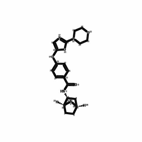 O=C(N[C@@H]1C[C@H]2CC[C@@H]1N2)c1ccc(Oc2cnc(N3CCOCC3)o2)cc1